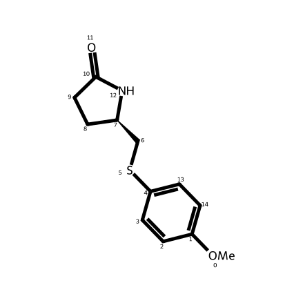 COc1ccc(SC[C@H]2CCC(=O)N2)cc1